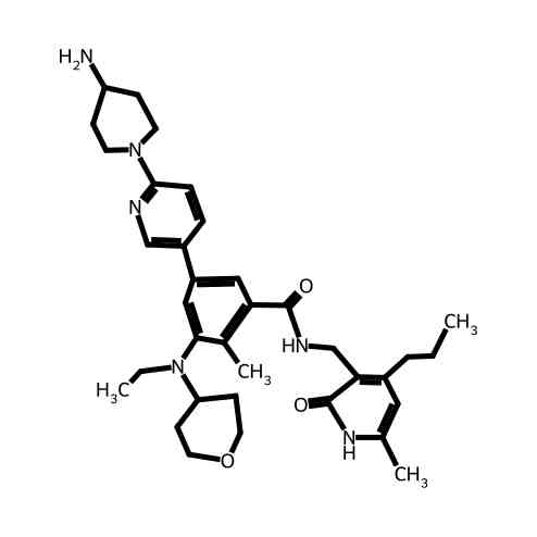 CCCc1cc(C)[nH]c(=O)c1CNC(=O)c1cc(-c2ccc(N3CCC(N)CC3)nc2)cc(N(CC)C2CCOCC2)c1C